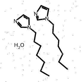 CCCCCCCn1ccnc1.CCCCCCCn1ccnc1.O